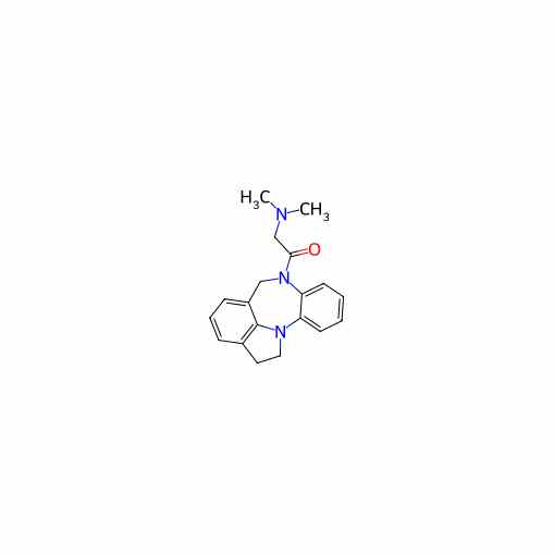 CN(C)CC(=O)N1Cc2cccc3c2N(CC3)c2ccccc21